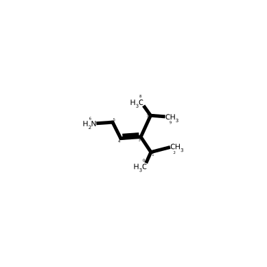 CC(C)C(=CCN)C(C)C